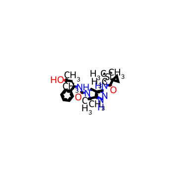 CC(C)(O)C[C@@H](NC(=O)N1Cc2c(NC(=O)C3([Si](C)(C)C)CC3)n[nH]c2C1(C)C)c1ccccc1